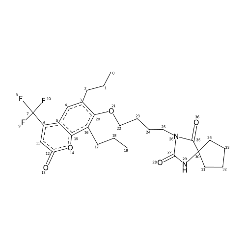 CCCc1cc2c(C(F)(F)F)cc(=O)oc2c(CCC)c1OCCCCN1C(=O)NC2(CCCC2)C1=O